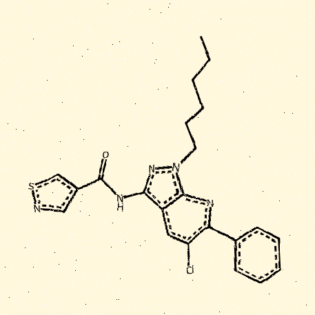 CCCCCCn1nc(NC(=O)c2cnsc2)c2cc(Cl)c(-c3cc[c]cc3)nc21